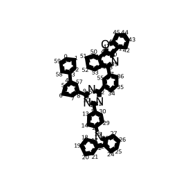 c1ccc(-c2cccc(-c3nc(-c4ccc(-n5c6ccccc6c6ccccc65)cc4)nc(-c4cccc(-c5nc6c7ccccc7oc6c6ccccc56)c4)n3)c2)cc1